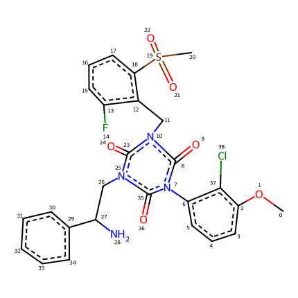 COc1cccc(-n2c(=O)n(Cc3c(F)cccc3S(C)(=O)=O)c(=O)n(CC(N)c3ccccc3)c2=O)c1Cl